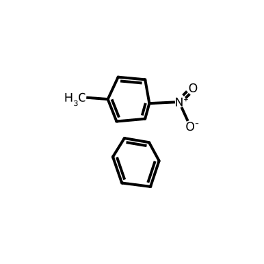 Cc1ccc([N+](=O)[O-])cc1.c1ccccc1